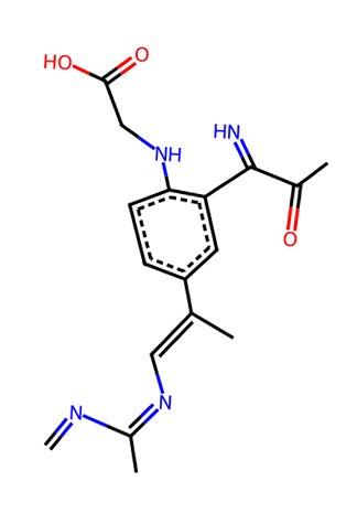 C=N/C(C)=N\C=C(/C)c1ccc(NCC(=O)O)c(C(=N)C(C)=O)c1